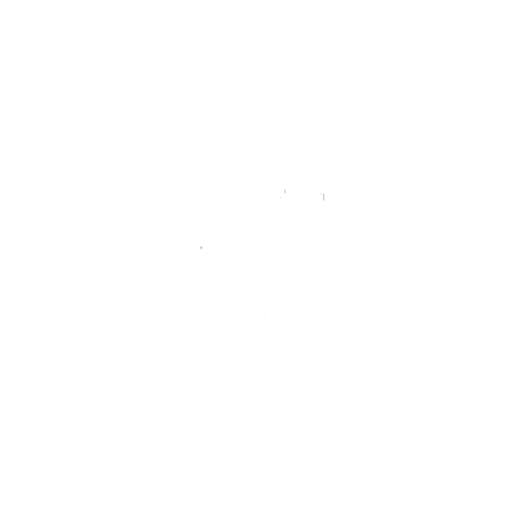 C=Cc1cccc(OC(C)COC(C)C)c1C